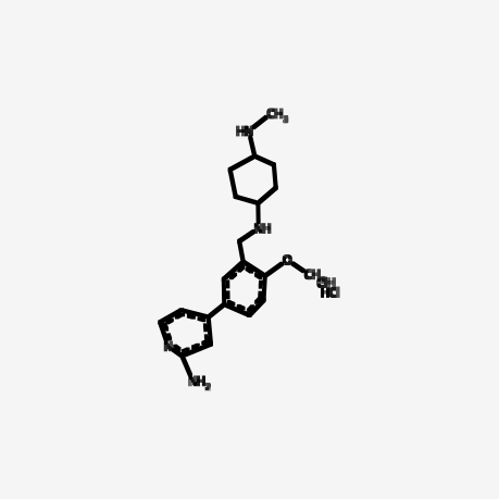 CNC1CCC(NCc2cc(-c3ccnc(N)c3)ccc2OC)CC1.Cl.Cl